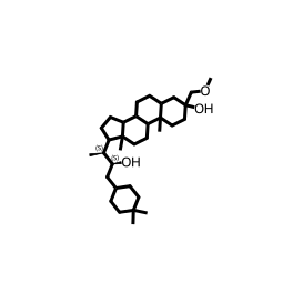 COCC1(O)CCC2(C)C(CCC3C2CCC2(C)C3CCC2[C@H](C)[C@@H](O)CC2CCC(C)(C)CC2)C1